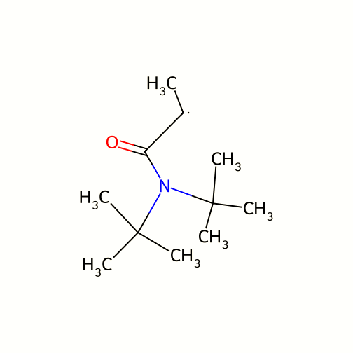 C[CH]C(=O)N(C(C)(C)C)C(C)(C)C